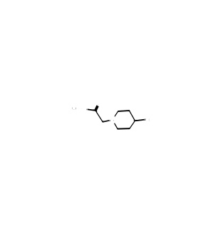 COC(=O)CN1CCC(Br)CC1